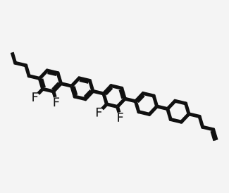 C=CCCC1CCC(C2CC=C(C3=CC=C(c4ccc(-c5ccc(CCCC)c(F)c5F)cc4)C(F)C3F)CC2)CC1